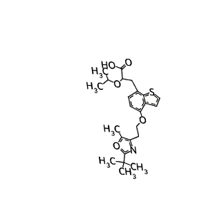 Cc1oc(C(C)(C)C)nc1CCOc1ccc(CC(OC(C)C)C(=O)O)c2sccc12